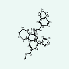 CCCc1cc(N2CCCCCC2C(=O)NCc2ccc3c(c2)OCO3)nc(-n2ccnc2)n1